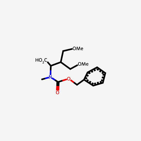 COCC(COC)C(C(=O)O)N(C)C(=O)OCc1ccccc1